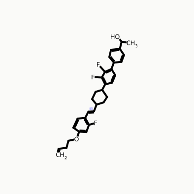 C=CCCOc1ccc(/C=C/C2CCC(c3ccc(-c4ccc(C(C)O)cc4)c(F)c3F)CC2)c(F)c1